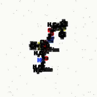 CCCCCCOC(=O)C(C)(CC(C)(C#N)CCC(=O)NCCC[Si](C)(C)OC)CC(C)(SC(=S)c1ccccc1)C(=O)OCn1cc(COC(=O)CCC(C)(C#N)CC(SC(=S)c2ccccc2)c2ccccc2)nn1